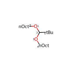 CCCCCCCCOC(OCCCCCCCC)C(C)(C)C